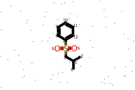 CC(C)CS(=O)(=O)c1[c]cccc1